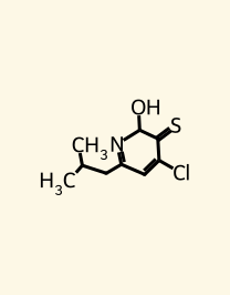 CC(C)CC1=NC(O)C(=S)C(Cl)=C1